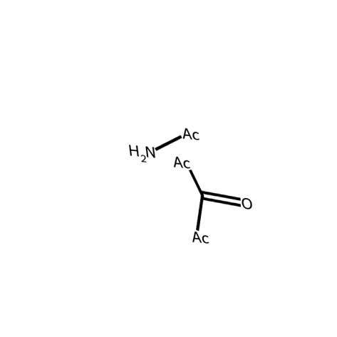 CC(=O)C(=O)C(C)=O.CC(N)=O